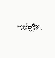 COc1nc(Nc2cc(C)cc(-c3cnn(C[C@](C)(O)CO)c3)c2)ncc1F